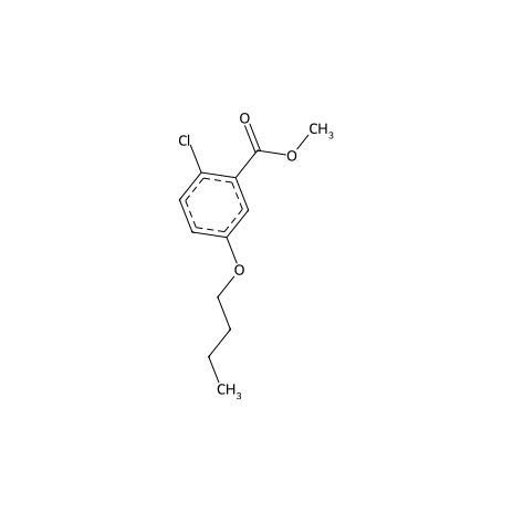 CCCCOc1ccc(Cl)c(C(=O)OC)c1